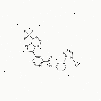 O=C(Nc1cccc(-c2nncn2C2CC2)c1)c1cc(N2CNC3C2=CC=NC3C(F)(F)F)ccn1